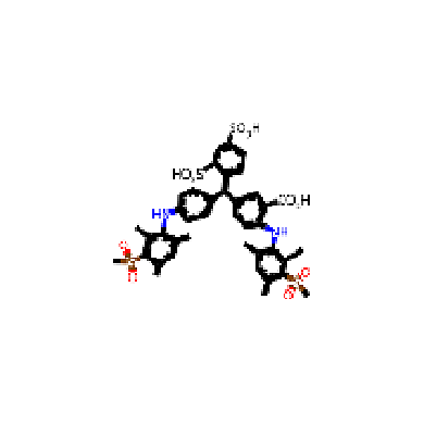 Cc1cc(C)c(S(C)(=O)=O)c(C)c1Nc1ccc(C(c2ccc(Nc3c(C)cc(C)c(S(C)(=O)=O)c3C)c(C(=O)O)c2)c2ccc(S(=O)(=O)O)cc2S(=O)(=O)O)cc1